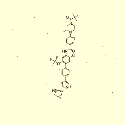 CC1CN(C(=O)C(C)(C)C)CCN1c1ccc(C(=O)Nc2cc(OC(F)(F)F)c(-c3ccc(-c4c[nH]c([C@@H]5C[C@H](C)CN5)n4)cc3)cc2Cl)cn1